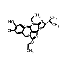 CCOc1nc2c(n1Cc1ccc(O)c(Cl)c1)C(=O)N(CC)C1=N[C@H](C(C)C)CN12